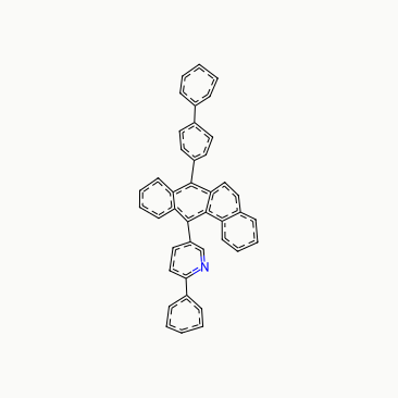 c1ccc(-c2ccc(-c3c4ccccc4c(-c4ccc(-c5ccccc5)nc4)c4c3ccc3ccccc34)cc2)cc1